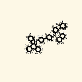 c1ccc2c(N(c3ccc(-c4ccc(-n5c6ccccc6c6c7ccccc7c7ccccc7c65)cc4)cc3)c3ccc4sc5ccccc5c4c3)cccc2c1